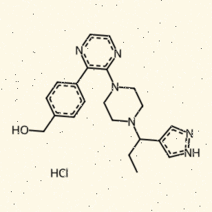 CCC(c1cn[nH]c1)N1CCN(c2nccnc2-c2ccc(CO)cc2)CC1.Cl